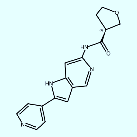 O=C(Nc1cc2[nH]c(-c3ccncc3)cc2cn1)[C@H]1CCOC1